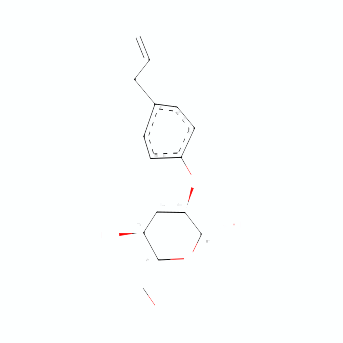 C=CCc1ccc(O[C@@H]2[C@@H](O)[C@H](O)[C@@H](CO)O[C@H]2O)cc1